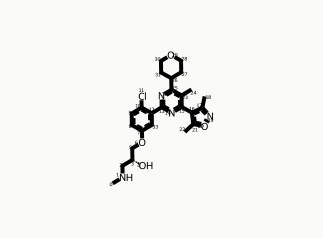 CNC[C@@H](O)COc1ccc(Cl)c(-c2nc(-c3c(C)noc3C)c(C)c(C3CCOCC3)n2)c1